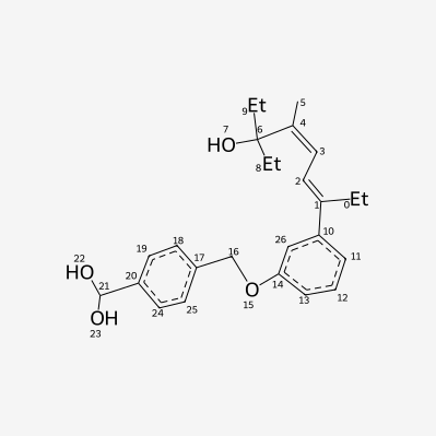 CCC(=CC=C(C)C(O)(CC)CC)c1cccc(OCc2ccc(C(O)O)cc2)c1